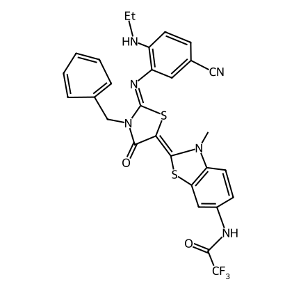 CCNc1ccc(C#N)cc1N=C1SC(=C2Sc3cc(NC(=O)C(F)(F)F)ccc3N2C)C(=O)N1Cc1ccccc1